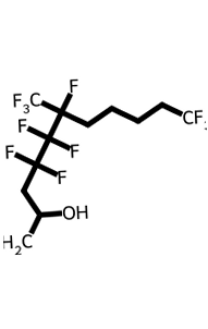 [CH2]C(O)CC(F)(F)C(F)(F)C(F)(CCCCC(F)(F)F)C(F)(F)F